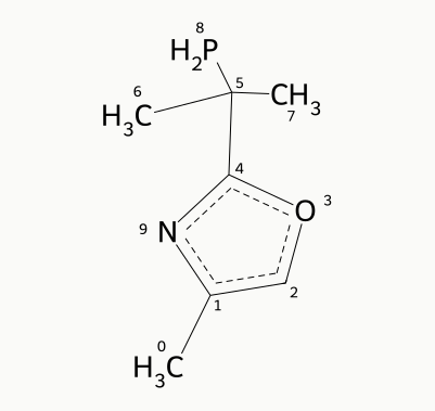 Cc1coc(C(C)(C)P)n1